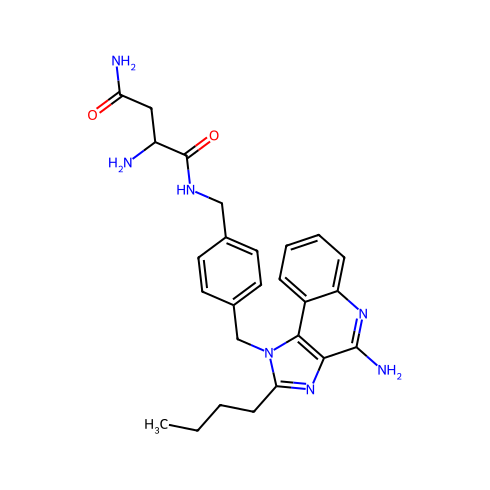 CCCCc1nc2c(N)nc3ccccc3c2n1Cc1ccc(CNC(=O)C(N)CC(N)=O)cc1